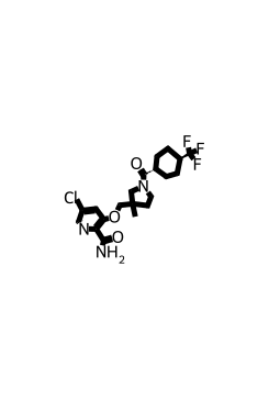 CC1(COc2cc(Cl)cnc2C(N)=O)CCN(C(=O)[C@H]2CC[C@H](C(F)(F)F)CC2)C1